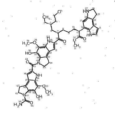 CCC(CCCl)CC(CCC[C@H](C(=O)OC)c1cc2c(c3cc[nH]c13)CCN2)C(=O)c1cc2c3c(c(O)c(OC)c2[nH]1)N(C(=O)c1cc2c4c(c(O)c(OC)c2[nH]1)N(C(N)=O)CC4)CC3